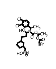 CCCC(=O)OC(C)OC(=O)N(C(O)CCC1CCCC(C[PH](=O)O)C1)[C@H](C)c1ccc(Cl)c(Cl)c1